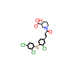 O=C(O)C1CCCN(C(=O)C=Cc2ccc(Sc3ccc(Cl)cc3Cl)c(Cl)c2)C1